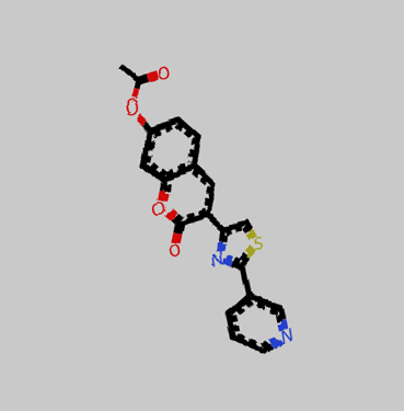 CC(=O)Oc1ccc2cc(-c3csc(-c4cccnc4)n3)c(=O)oc2c1